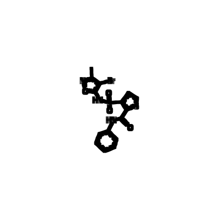 Cc1noc(NS(=O)(=O)c2ccsc2C(=O)Nc2ccccc2)c1Br